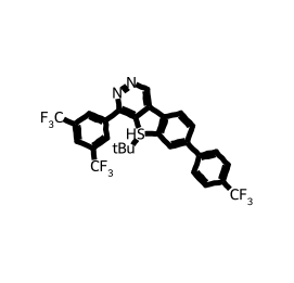 CC(C)(C)[SH]1c2cc(-c3ccc(C(F)(F)F)cc3)ccc2-c2cnnc(-c3cc(C(F)(F)F)cc(C(F)(F)F)c3)c21